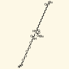 CC(C)(C)OC(=O)CCCCCCCCCCCCCCCCC(=O)N[C@@H](CCC(=O)NCCOCCOCCOCCOCCOCCN=[N+]=[N-])C(=O)OC(C)(C)C